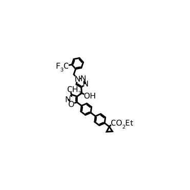 CCOC(=O)C1(c2ccc(-c3ccc(-c4onc(C)c4C(O)c4cn(Cc5ccccc5C(F)(F)F)nn4)cc3)cc2)CC1